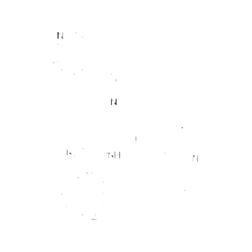 C1=CC2=CC(N(Cc3ccncc3)Cc3nc4ccccc4[nH]3)CCC2N=C1